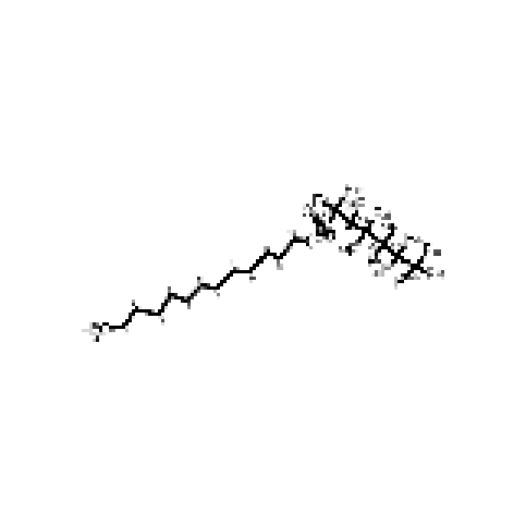 CCCCCCCCCCCCCOS(=O)(=O)C(F)(F)C(F)(F)C(F)(F)C(F)(F)C(F)(F)C(F)(F)F